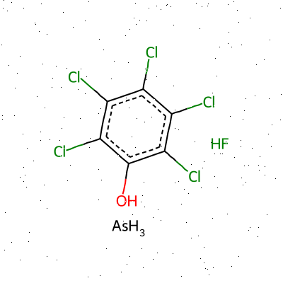 F.Oc1c(Cl)c(Cl)c(Cl)c(Cl)c1Cl.[AsH3]